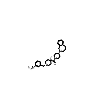 Nc1cccc(CN2CCC(F)(C(=O)N3CCC(N4CCCc5ccccc5C4)CC3)CC2)c1